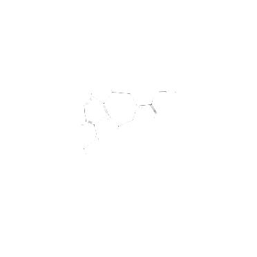 CC(C)(C)OC(=O)N1CCc2cccc(NCC(=O)O)c2CC1